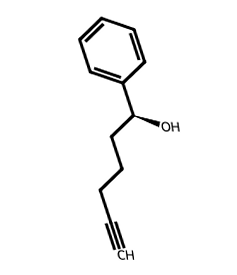 C#CCCC[C@H](O)c1ccccc1